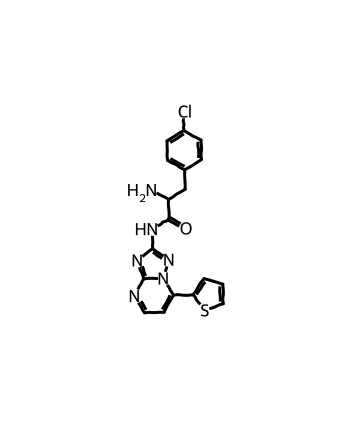 NC(Cc1ccc(Cl)cc1)C(=O)Nc1nc2nccc(-c3cccs3)n2n1